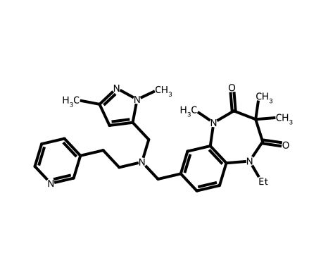 CCN1C(=O)C(C)(C)C(=O)N(C)c2cc(CN(CCc3cccnc3)Cc3cc(C)nn3C)ccc21